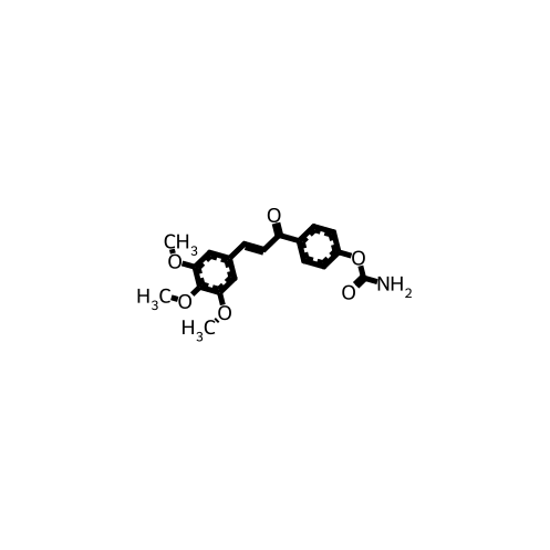 COc1cc(C=CC(=O)c2ccc(OC(N)=O)cc2)cc(OC)c1OC